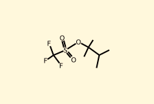 CC(C)C(C)(C)OS(=O)(=O)C(F)(F)F